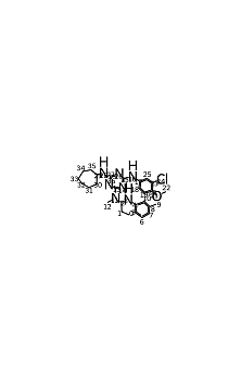 CCC(Nc1cccc(C)c1)N(C)c1nc(Nc2ccc(OC)c(Cl)c2)nc(NC2CCCCCC2)n1